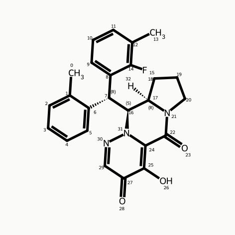 Cc1ccccc1[C@H](c1cccc(C)c1F)[C@H]1[C@H]2CCCN2C(=O)c2c(O)c(=O)cnn21